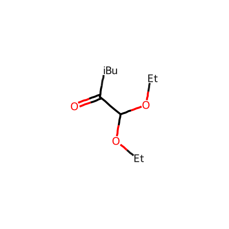 CCOC(OCC)C(=O)C(C)CC